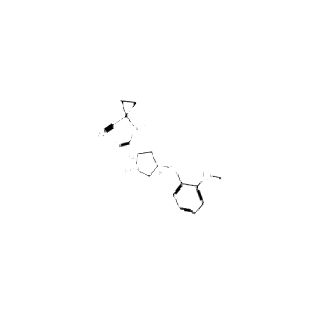 COc1ccccc1S[C@H]1CN[C@H](C(=O)NC2(C#N)CC2)C1